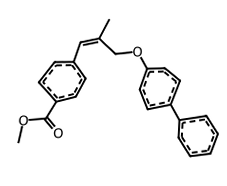 COC(=O)c1ccc(C=C(C)COc2ccc(-c3ccccc3)cc2)cc1